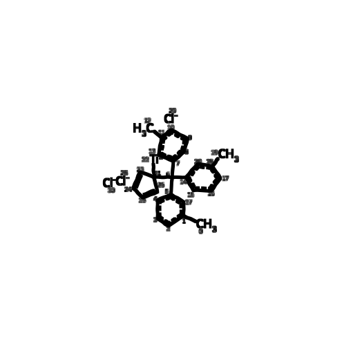 Cc1cccc(C(c2cccc(C)c2)(c2cccc(C)c2)[C]2([Ti+3])C=CC=C2)c1.[Cl-].[Cl-].[Cl-]